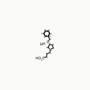 O=C(O)CCCN1CC[C@@H](OCc2ccccc2)C1.[LiH]